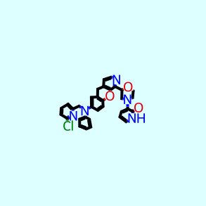 O=c1[nH]cccc1N1CCOC(c2nccc3c2Oc2ccc(N(Cc4cccc(Cl)n4)c4ccccc4)cc2C3)C1